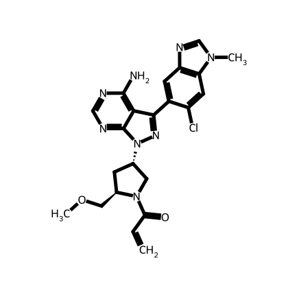 C=CC(=O)N1C[C@@H](n2nc(-c3cc4ncn(C)c4cc3Cl)c3c(N)ncnc32)C[C@@H]1COC